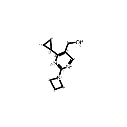 OCc1cnc(N2CCC2)nc1C1CC1